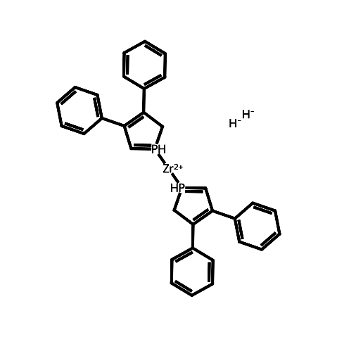 C1=[PH]([Zr+2][PH]2=CC(c3ccccc3)=C(c3ccccc3)C2)CC(c2ccccc2)=C1c1ccccc1.[H-].[H-]